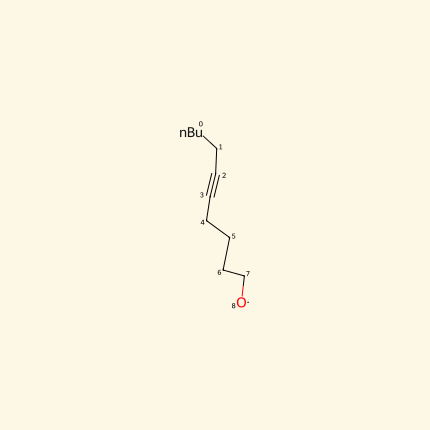 CCCCCC#CCCCC[O]